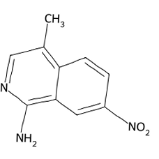 Cc1cnc(N)c2cc([N+](=O)[O-])ccc12